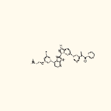 CN(C)CCOc1cc(F)cc(-c2ccnc3[nH]c(-c4n[nH]c5ccc(-c6cncc(NC(=O)c7ccccc7)c6)cc45)nc23)c1